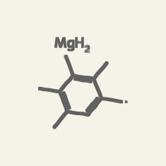 [CH2]c1cc(C)c(C)c(C)c1C.[MgH2]